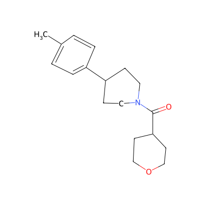 Cc1ccc(C2CCN(C(=O)C3CCOCC3)CC2)cc1